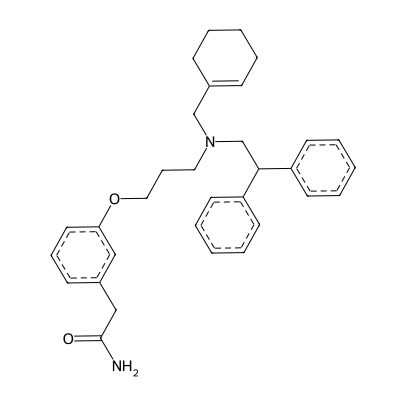 NC(=O)Cc1cccc(OCCCN(CC2=CCCCC2)CC(c2ccccc2)c2ccccc2)c1